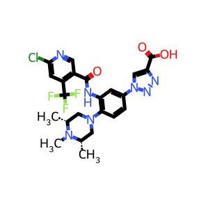 C[C@@H]1CN(c2ccc(-n3cc(C(=O)O)nn3)cc2NC(=O)c2cnc(Cl)cc2C(F)(F)F)C[C@H](C)N1C